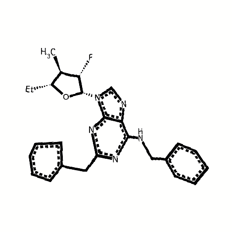 CC[C@H]1O[C@@H](n2cnc3c(NCc4ccccc4)nc(Cc4ccccc4)nc32)[C@@H](F)[C@@H]1C